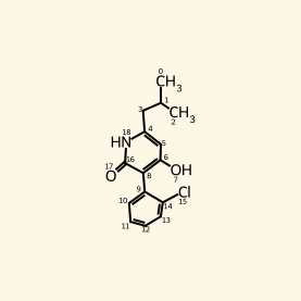 CC(C)Cc1cc(O)c(-c2ccccc2Cl)c(=O)[nH]1